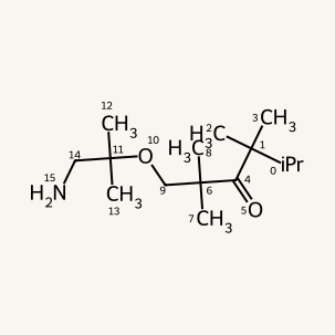 CC(C)C(C)(C)C(=O)C(C)(C)COC(C)(C)CN